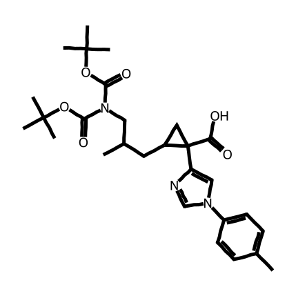 Cc1ccc(-n2cnc(C3(C(=O)O)CC3CC(C)CN(C(=O)OC(C)(C)C)C(=O)OC(C)(C)C)c2)cc1